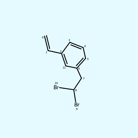 C=Cc1cccc(CC(Br)Br)c1